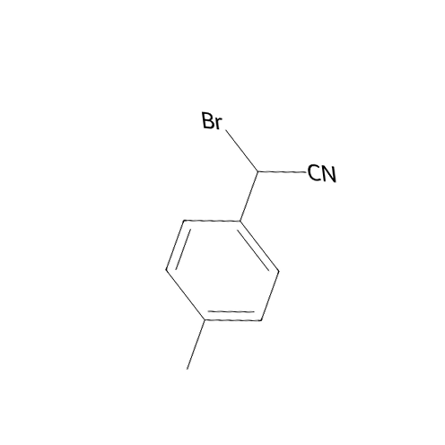 Cc1ccc(C(Br)C#N)cc1